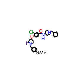 COc1ccc(CN2CCC(Oc3ccc(C(=O)NC4CCN(Cc5ccccc5)CC4)cc3Cl)CC2I)cc1